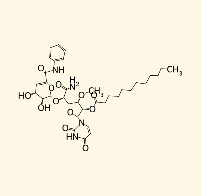 CCCCCCCCCCCC(=O)O[C@@H]1[C@H](OC)[C@@H]([C@@H](O[C@H]2OC(C(=O)Nc3ccccc3)=C[C@H](O)[C@@H]2O)C(N)=O)O[C@H]1n1ccc(=O)[nH]c1=O